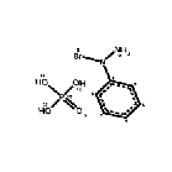 NN(Br)c1ccccc1.O=P(O)(O)O